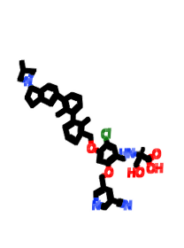 Cc1c(COc2cc(OCc3cncc(C#N)c3)c(CN[C@@](C)(CO)C(=O)O)cc2Cl)cccc1-c1cccc(-c2ccc3c(c2)CCC3N2CC(C)C2)c1C